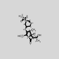 C[C@@H](O)[C@H]1C(=O)N2C(C(=O)O)=C(SC3CN=CN(S(C)(=O)=O)C3)[C@H](C)[C@H]12